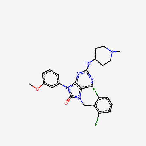 COc1cccc(-n2c(=O)n(Cc3c(F)cccc3F)c3cnc(NC4CCN(C)CC4)nc32)c1